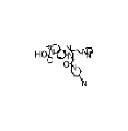 C[C@H]1CCc2c(ccc3c2nc(CCn2cccn2)n3CC(=O)N2CCC(C#N)CC2)N1C(=O)O